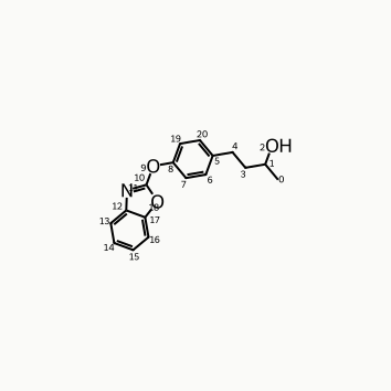 CC(O)CCc1ccc(Oc2nc3ccccc3o2)cc1